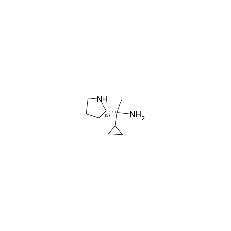 CC(N)(C1CC1)[C@@H]1CCCN1